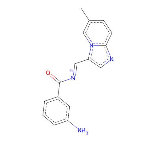 Cc1ccc2ncc(/C=N/C(=O)c3cccc(N)c3)n2c1